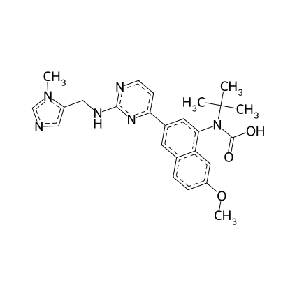 COc1ccc2cc(-c3ccnc(NCc4cncn4C)n3)cc(N(C(=O)O)C(C)(C)C)c2c1